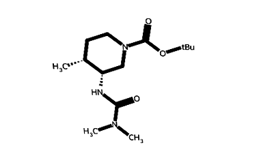 C[C@@H]1CCN(C(=O)OC(C)(C)C)C[C@@H]1NC(=O)N(C)C